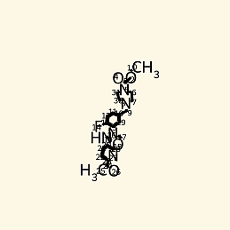 CCOC(=O)N1CCN(Cc2ccc(F)c(N(C=O)Nc3ccc(C(C)=O)nc3)c2)CC1